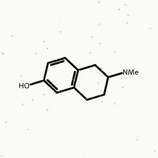 CNC1CCc2cc(O)ccc2C1